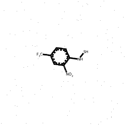 O=[N+]([O-])c1cc(C(F)(F)F)ccc1NS